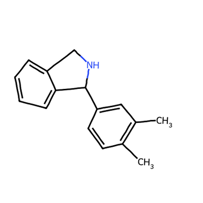 Cc1ccc(C2NCc3ccccc32)cc1C